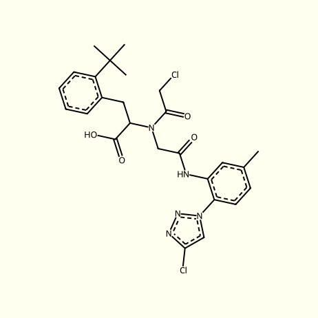 Cc1ccc(-n2cc(Cl)nn2)c(NC(=O)CN(C(=O)CCl)C(Cc2ccccc2C(C)(C)C)C(=O)O)c1